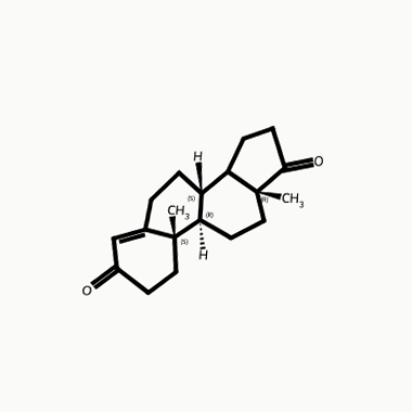 C[C@@]12CC[C@@H]3[C@H](CCC4=CC(=O)CC[C@]43C)C1CCC2=O